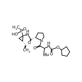 C=C[C@@H]1C[C@]1(NC(=O)[C@@H]1CCCN1C(=O)C(NC(=O)OC1CCCC1)C(C)(C)C)P(C)(=O)O